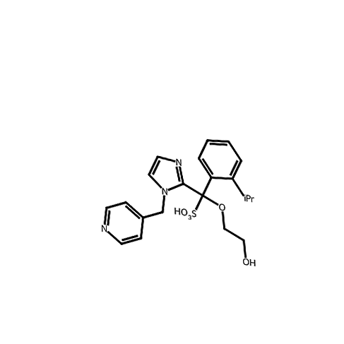 CC(C)c1ccccc1C(OCCO)(c1nccn1Cc1ccncc1)S(=O)(=O)O